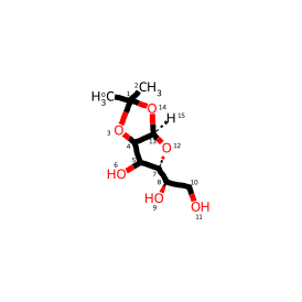 CC1(C)OC2C(O)[C@@H]([C@H](O)CO)O[C@@H]2O1